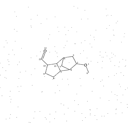 COC1CC2CC1C1CCC(C=O)C21